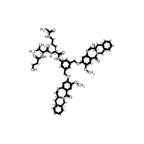 COc1cc2c(cc1OCc1cc(COc3cc4c(cc3OC)C(=O)N3Cc5ccccc5C[C@H]3C=N4)cc(NC(=O)[C@H](CCCNC(N)=O)NC(=O)[C@@H](NC(=O)CCO)C(C)C)c1)N=CC1Cc3ccccc3CN1C2=O